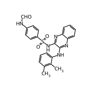 Cc1cccc(Nc2nc3ccccc3nc2NS(=O)(=O)c2ccc(NC=O)cc2)c1C